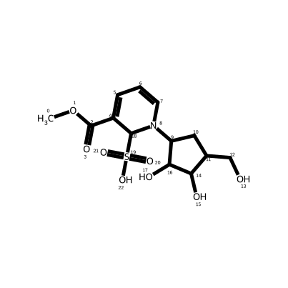 COC(=O)C1=CC=CN(C2CC(CO)C(O)C2O)C1S(=O)(=O)O